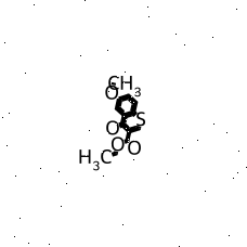 CCOC(=O)c1csc2ccc(OC)cc2c1=O